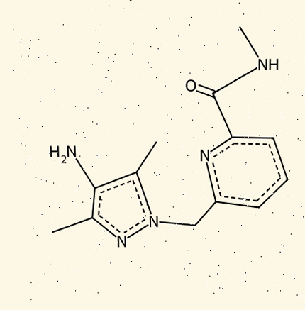 CNC(=O)c1cccc(Cn2nc(C)c(N)c2C)n1